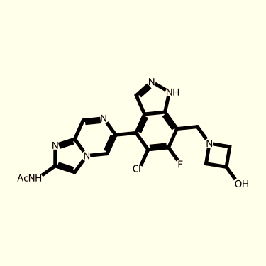 CC(=O)Nc1cn2cc(-c3c(Cl)c(F)c(CN4CC(O)C4)c4[nH]ncc34)ncc2n1